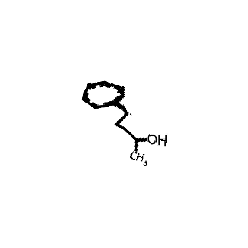 CC(O)C[CH]c1ccccc1